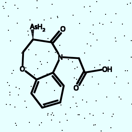 O=C(O)CN1C(=O)[C@@H]([AsH2])COc2ccccc21